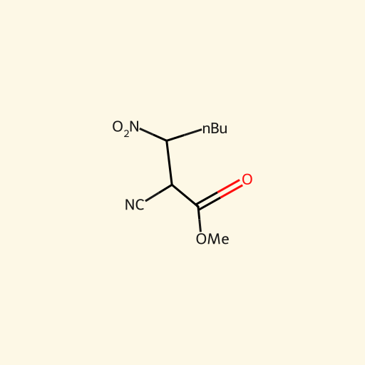 CCCCC(C(C#N)C(=O)OC)[N+](=O)[O-]